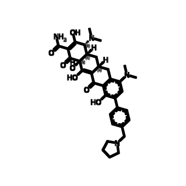 CN(C)c1cc(-c2ccc(CN3CCCC3)cc2)c(O)c2c1C[C@H]1C[C@H]3[C@@H](N(C)C)C(O)=C(C(N)=O)C(=O)[C@@]3(O)C(O)=C1C2=O